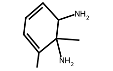 CC1=CC=CC(N)C1(C)N